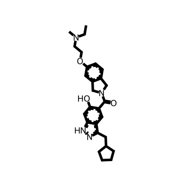 CCN(C)CCOc1ccc2c(c1)CN(C(=O)c1cc3c(CC4CCCC4)n[nH]c3cc1O)C2